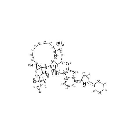 CC(C)n1c(O[C@@H]2C[C@H]3C(=O)N[C@]4(C(=O)NS(=O)(=O)C5(C)CC5)C[C@H]4/C=C\CCCCC[C@H](N)C(=O)N3C2)nc2c(-c3nc(C4CCCCC4)cs3)cccc21